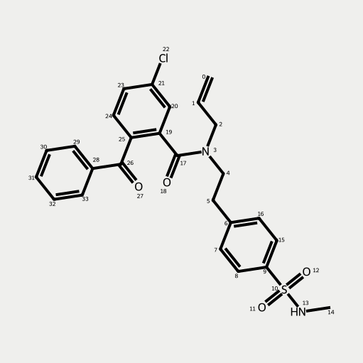 C=CCN(CCc1ccc(S(=O)(=O)NC)cc1)C(=O)c1cc(Cl)ccc1C(=O)c1ccccc1